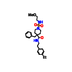 CCc1ccc(CCNC(=O)C2(Cc3ccccc3)CCN(S(=O)(=O)NCCOC)CC2)cc1